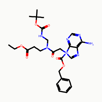 CCOC(=O)CCN(CNC(=O)OC(C)(C)C)C(=O)C[N+]1(C(=O)OCc2ccccc2)C=Nc2c(N)ncnc21